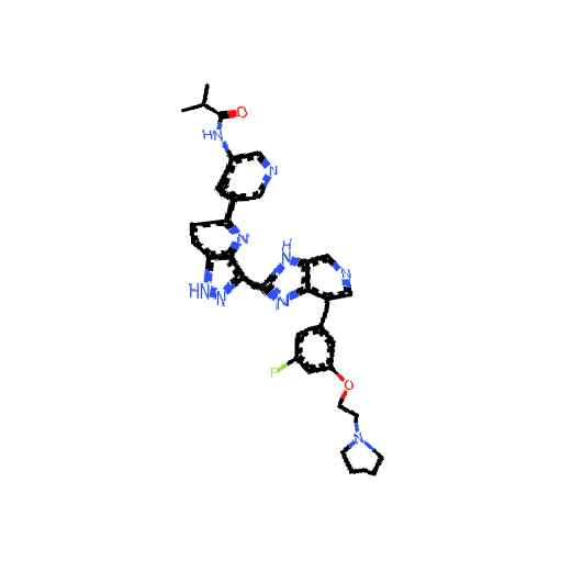 CC(C)C(=O)Nc1cncc(-c2ccc3[nH]nc(-c4nc5c(-c6cc(F)cc(OCCN7CCCC7)c6)cncc5[nH]4)c3n2)c1